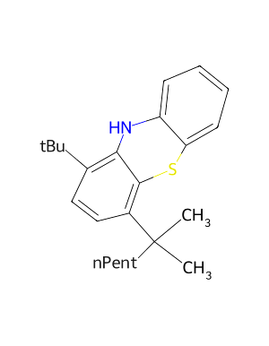 CCCCCC(C)(C)c1ccc(C(C)(C)C)c2c1Sc1ccccc1N2